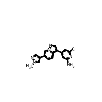 Cn1cc(-c2ccc3c(-c4cc(N)nc(Cl)c4)cnn3c2)cn1